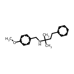 COc1ccc(CNC(C)(C)CCc2ccccc2)cc1